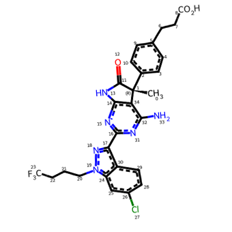 C[C@]1(c2ccc(CCC(=O)O)cc2)C(=O)Nc2nc(-c3nn(CCCC(F)(F)F)c4cc(Cl)ccc34)nc(N)c21